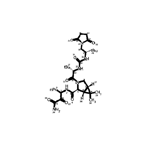 CCCC(NC(=O)[C@@H]1[C@@H]2[C@H](CN1C(=O)[C@@H](NC(=O)N[C@H](CN1C(=O)CCC1=O)C(C)(C)C)C(C)(C)C)C2(C)C)C(=O)C(N)=O